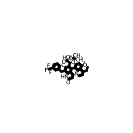 Cc1c([C@H](OC(C)(C)C)C(=O)O)c(-c2ccc3c4c(ccnc24)CCO3)c2ccc(=O)[nH]c2c1Cc1cccc(C(F)(F)F)c1